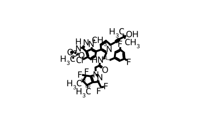 C[C@@H]1c2c(C(F)F)nn(CC(=O)N[C@@H](Cc3cc(F)cc(F)c3)c3nc(C#CC(C)(C)O)ccc3-c3ccc(Cl)c4c(NS(C)(=O)=O)nn(C)c34)c2C(F)(F)[C@@H]1C